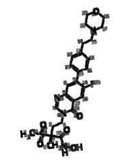 C[C@@](CCn1cnc2cc(-c3ccc(CCN4CCOCC4)cc3)c(F)cc2c1=O)(C(=O)NO)S(C)(=O)=O